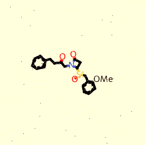 COc1ccccc1C[S+]([O-])C1CC(=O)N1CC(=O)CCc1ccccc1